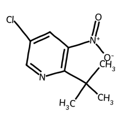 CC(C)(C)c1ncc(Cl)cc1[N+](=O)[O-]